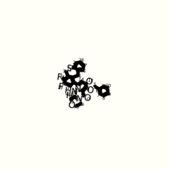 O=C1c2c(OCc3ccccc3)c(=O)cc(-c3cc(F)c(F)c4c3Cc3ccccc3SC4)n2N[C@@H]2COCCN12